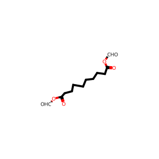 O=COC(=O)CCCCCCCCC(=O)OC=O